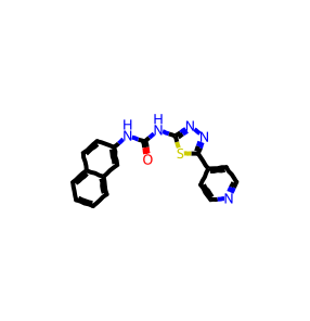 O=C(Nc1ccc2ccccc2c1)Nc1nnc(-c2ccncc2)s1